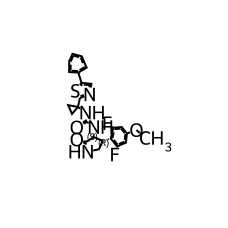 COc1cc(F)c([C@@H]2CNC(=O)[C@H]2NC(=O)NC2(c3ncc(-c4ccccc4)s3)CC2)c(F)c1